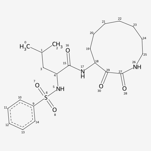 CC(C)CC(NS(=O)(=O)c1ccccc1)C(=O)NC1CCCCCCCNC(=O)C1=O